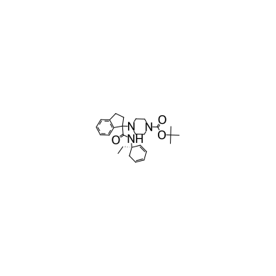 CC[C@]1(NC(=O)C2(N3CCN(C(=O)OC(C)(C)C)CC3)CCc3ccccc32)C=CC=CC1